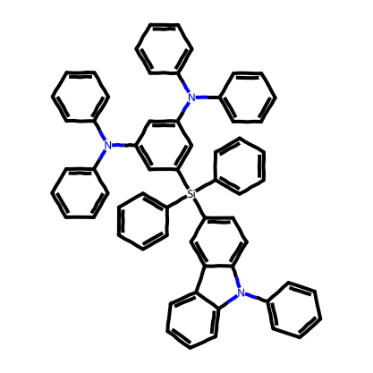 c1ccc(N(c2ccccc2)c2cc(N(c3ccccc3)c3ccccc3)cc([Si](c3ccccc3)(c3ccccc3)c3ccc4c(c3)c3ccccc3n4-c3ccccc3)c2)cc1